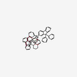 C1=c2cccc(C3CCCCC3)c2=C(c2ccccc2N(c2cccc(-c3cccc4c5ccccc5n(-c5ccccc5)c34)c2)c2ccc3c(c2)C(c2ccccc2)(c2ccccc2)c2ccccc2-3)CC1